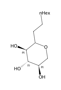 CCCCCCCCC1OC[C@@H](O)[C@H](O)[C@H]1O